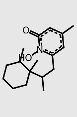 Cc1cc(CC(C)C2(C)CCCCC2C)n(O)c(=O)c1